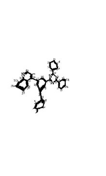 Cc1ccc(-c2cc(-c3nc(-c4ccccc4)nc(-c4ccccc4)n3)cc(-c3ccnc4ccccc34)c2)cc1